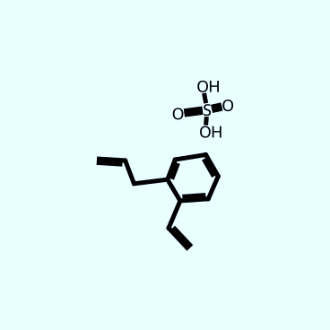 C=CCc1ccccc1C=C.O=S(=O)(O)O